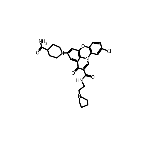 NC(=O)C1CCN(c2cc3c4c(c2)c(=O)c(C(=O)NCCN2CCCC2)cn4-c2cc(Cl)ccc2O3)CC1